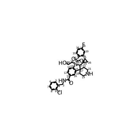 O=C(NCc1ccccc1Cl)c1ccc2c(c1)C1(CCNCC1)C(C1CC1)[N+]2(CCO)S(=O)(=O)c1ccc(F)cc1